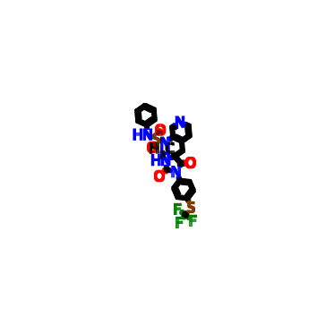 CC1(Cc2ccncc2NS(=O)(=O)Nc2ccccc2)NC(=O)N(c2ccc(SC(F)(F)F)cc2)C1=O